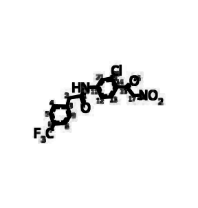 O=C(Cc1ccc(C(F)(F)F)cc1)Nc1ccc(C(=O)C[N+](=O)[O-])c(Cl)c1